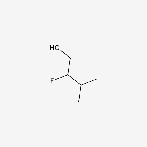 CC(C)C(F)CO